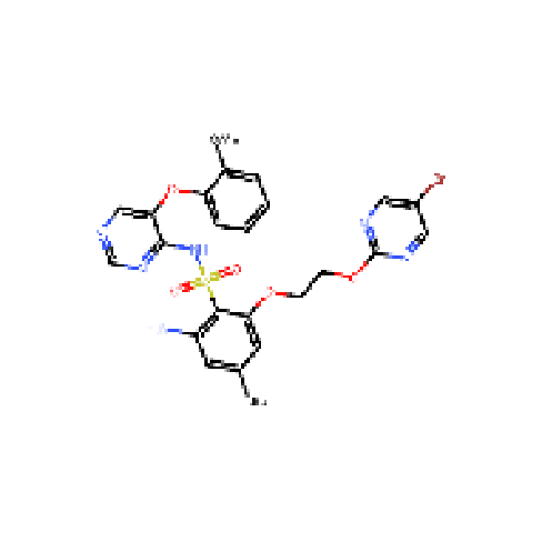 COc1ccccc1Oc1cncnc1NS(=O)(=O)c1c(N)cc(C(C)(C)C)cc1OCCOc1ncc(Br)cn1